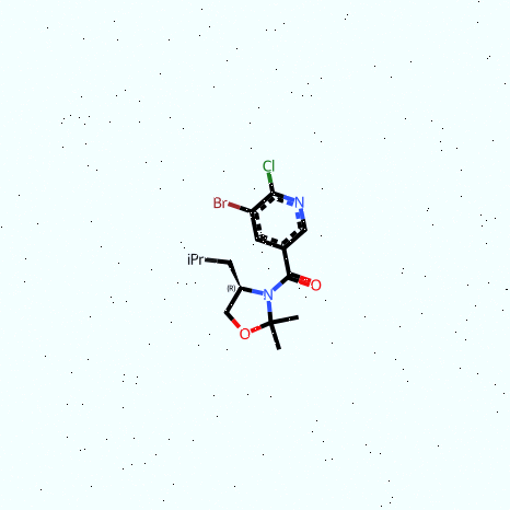 CC(C)C[C@@H]1COC(C)(C)N1C(=O)c1cnc(Cl)c(Br)c1